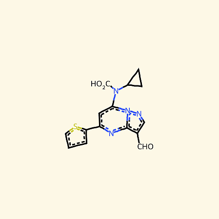 O=Cc1cnn2c(N(C(=O)O)C3CC3)cc(-c3cccs3)nc12